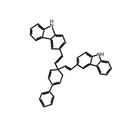 C1=CC(C=Cc2ccc3[nH]c4ccccc4c3c2)(C=Cc2ccc3[nH]c4ccccc4c3c2)CC=C1c1ccccc1